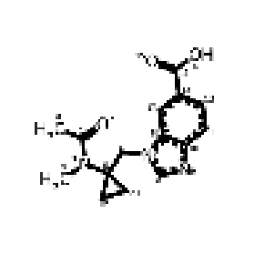 CC(=O)N(C)C1(Cn2cnc3ccc(C(=O)O)cc32)CC1